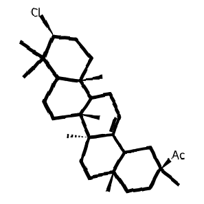 CC(=O)[C@@]1(C)CC[C@]2(C)CC[C@]3(C)C(=CCC4[C@@]5(C)CC[C@H](Cl)C(C)(C)C5CC[C@]43C)C2C1